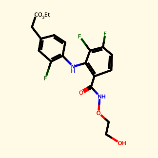 CCOC(=O)Cc1ccc(Nc2c(C(=O)NOCCO)ccc(F)c2F)c(F)c1